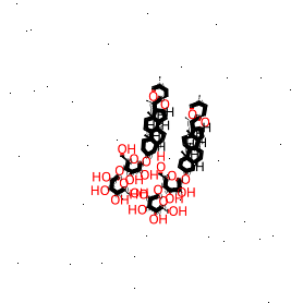 C[C@@H]1CC[C@@]2(OC1)O[C@H]1C[C@H]3[C@@H]4CC[C@H]5C[C@@H](O[C@@H]6O[C@H](CO)[C@@H](O[C@@H]7O[C@H](CO)[C@@H](O)[C@H](O)[C@H]7O)[C@H](O)[C@H]6O)CC[C@]5(C)[C@H]4CC[C@]3(C)[C@H]1[C@@H]2C.C[C@@H]1CC[C@@]2(OC1)O[C@H]1C[C@H]3[C@@H]4CC[C@H]5C[C@@H](O[C@@H]6O[C@H](CO)[C@@H](O[C@@H]7O[C@H](CO)[C@@H](O)[C@H](O)[C@H]7O)[C@H](O)[C@H]6O)CC[C@]5(C)[C@H]4CC[C@]3(C)[C@H]1[C@@H]2C